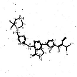 C=C/C(=C(/F)c1ncc(-c2ccc(Nc3ccc(NN4CCNCC4(C)C)cn3)c3c2CNC3=O)n1C)C(F)F